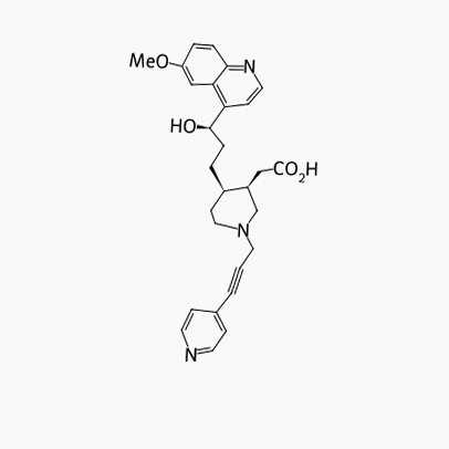 COc1ccc2nccc([C@H](O)CC[C@@H]3CCN(CC#Cc4ccncc4)C[C@@H]3CC(=O)O)c2c1